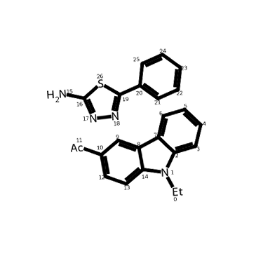 CCn1c2ccccc2c2cc(C(C)=O)ccc21.Nc1nnc(-c2ccccc2)s1